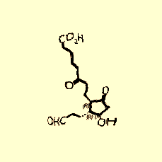 O=CCC[C@H]1[C@@H](O)CC(=O)[C@@H]1CCC(=O)CCCCC(=O)O